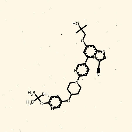 BC(B)(B)Oc1ccc(OC2CCN(c3ccc(-c4cc(OCC(C)(C)O)cc5ncc(C#N)n45)cn3)CC2)cn1